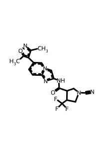 Cc1noc(C)c1-c1ccc2nc(NC(=O)C3CN(C#N)CC3C(F)(F)F)cn2c1